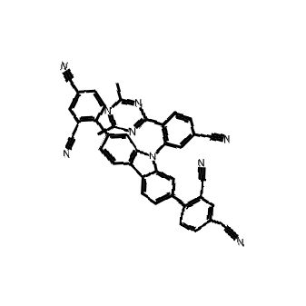 Cc1nc(C)nc(-c2ccc(C#N)cc2-n2c3cc(-c4ccc(C#N)cc4C#N)ccc3c3ccc(-c4ccc(C#N)cc4C#N)cc32)n1